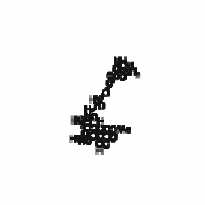 COc1cccc2c1C(=O)c1c(O)c3c(c(O)c1C2=O)C[C@@](O)(C(=O)CO)C[C@H]3OC1CC(NC(=O)CCCC(=O)NCCOCCOCC(=O)Oc2ccc(N)c(O)c2C(N)=O)[C@H](O)[C@H](C)O1